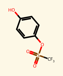 O=S(=O)(Oc1ccc(O)cc1)C(F)(F)F